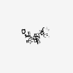 Cc1cc(C(F)(F)F)cc(Nc2n[nH]c3c2CN(C(=O)N[C@H]2C[C@@H]2c2ccccc2)C3(C)C)n1